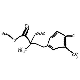 CCC(C)OC(=O)C(Cc1ccc(F)c(C)c1)(NC(C)=O)C(=O)O